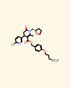 CC1=C(C(=O)OCc2ccc(OCCCS(=O)(=O)O)cc2)C(c2ccc(Cl)nc2)CC(=O)N1C[C@H]1CCCO1